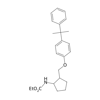 CCOC(=O)NC1CCCC1COc1ccc(C(C)(C)c2ccccc2)cc1